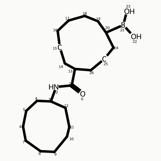 O=C(NC1CCCCCCCCC1)C1CCCCCCC(B(O)O)CCC1